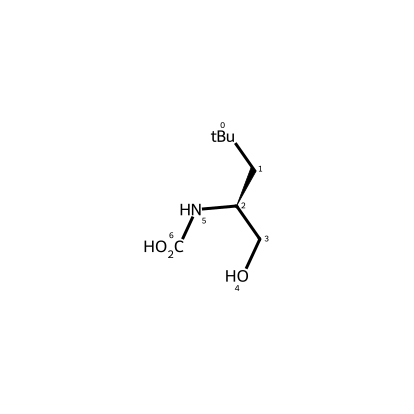 CC(C)(C)C[C@@H](CO)NC(=O)O